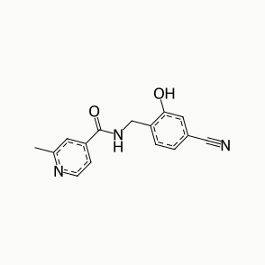 Cc1cc(C(=O)NCc2ccc(C#N)cc2O)ccn1